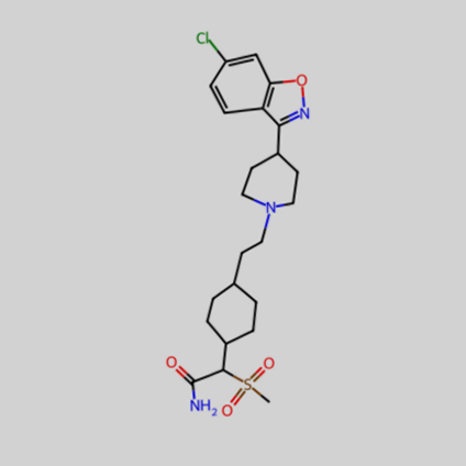 CS(=O)(=O)C(C(N)=O)C1CCC(CCN2CCC(c3noc4cc(Cl)ccc34)CC2)CC1